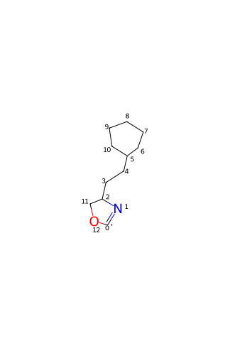 [C]1=NC(CCC2CCCCC2)CO1